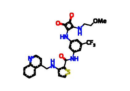 COCCNc1c(Nc2cc(NC(=O)c3sccc3NCc3ccnc4ccccc34)cc(C(F)(F)F)c2)c(=O)c1=O